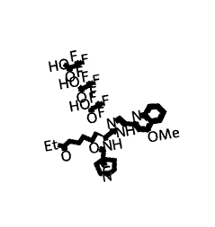 CCC(=O)CCCCC[C@H](NC(=O)C12CCN(CC1)CC2)c1ncc(-c2cc(OC)c3ccccc3n2)[nH]1.O=C(O)C(F)(F)F.O=C(O)C(F)(F)F.O=C(O)C(F)(F)F